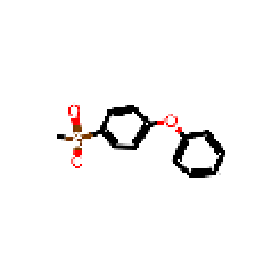 CS(=O)(=O)c1ccc(Oc2cc[c]cc2)cc1